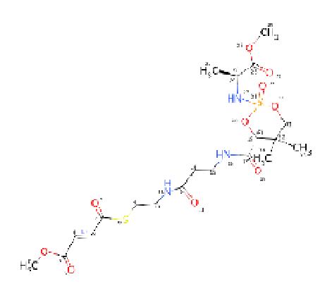 COC(=O)/C=C/C(=O)SCCNC(=O)CCNC(=O)[C@@H]1OP(=O)(N[C@@H](C)C(=O)OC)OCC1(C)C